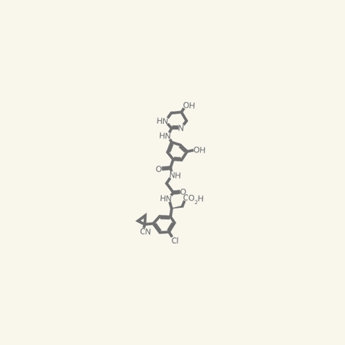 N#CC1(c2cc(Cl)cc([C@H](CC(=O)O)NC(=O)CNC(=O)c3cc(O)cc(NC4=NCC(O)CN4)c3)c2)CC1